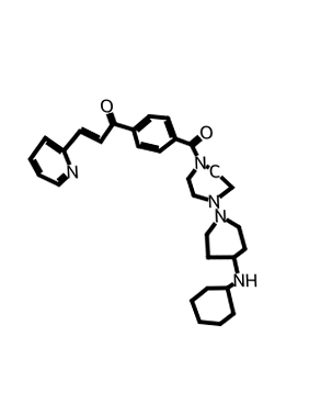 O=C(C=Cc1ccccn1)c1ccc(C(=O)N2CCN(N3CCC(NC4CCCCC4)CC3)CC2)cc1